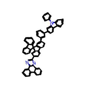 c1ccc(-n2c3ccccc3c3ccc(-c4cccc(-c5ccc6c(c5)C5(c7ccccc7-c7ccccc75)c5cc(-c7cnc8c9ccccc9c9ccccc9c8n7)ccc5-6)c4)cc32)cc1